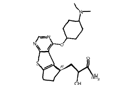 CN(C)C1CCC(Oc2ncnc3sc4c(c23)[C@@H](CC(O)C(N)=O)CC4)CC1